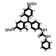 CNc1ccc(C(c2ccc(NC(=S)Nc3ccccc3)cc2)c2ccc(NC)cc2C)c(C)c1